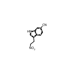 N#Cc1ccc2c(CC[N+](=O)[O-])c[nH]c2c1